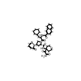 NC(=O)C(=O)C1(NC(=O)[C@@H]2C[C@H](n3ncccc3=O)CN2C(=O)C(CC2CCCCC2)NC(=O)c2ccc3ccccc3c2)CCOCC1